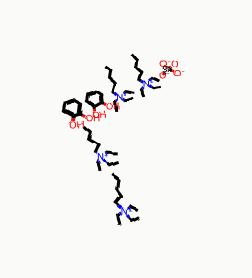 CCCCC[N+](CC)(CC)CC.CCCCC[N+](CC)(CC)CC.CCCCC[N+](CC)(CC)CC.CCCCC[N+](CC)(CC)CC.Oc1ccccc1O.Oc1ccccc1O.[O-][Si]([O-])([O-])[O-]